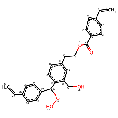 C=Cc1ccc(C(=O)OCCc2ccc(C(OO)c3ccc(C=C)cc3)c(CO)c2)cc1